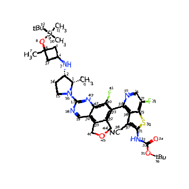 C[C@H]1[C@@H](NC2CC(C)(O[Si](C)(C)C(C)(C)C)C2)CCN1c1ncc2c3c(c(-c4ncc(F)c5sc(NC(=O)OC(C)(C)C)c(C#N)c45)c(F)c2n1)COC3